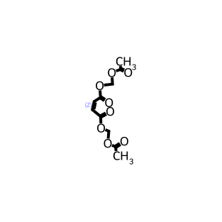 CC(=O)OCOC(=O)/C=C\C(=O)OCOC(C)=O